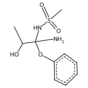 CC(O)C(N)(NS(C)(=O)=O)Oc1ccccc1